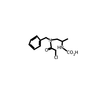 CC(CN(Cc1ccccc1)C(=O)CCl)NC(=O)O